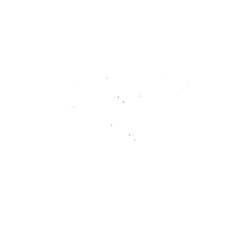 CC(C)(C)c1ccn2c(c1)nc1ccccc12